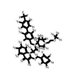 [2H]c1c([2H])c(F)c(F)c(CSc2c([2H])c(=O)c3c([2H])c([2H])c([2H])c([2H])c3n2C([2H])([2H])C(=O)N(Cc2c([2H])c([2H])c(-c3c([2H])c([2H])c(C(F)(F)F)c([2H])c3[2H])c([2H])c2C)C2([2H])C([2H])([2H])C([2H])([2H])N(CCOC([2H])([2H])[2H])C([2H])([2H])C2([2H])[2H])c1[2H]